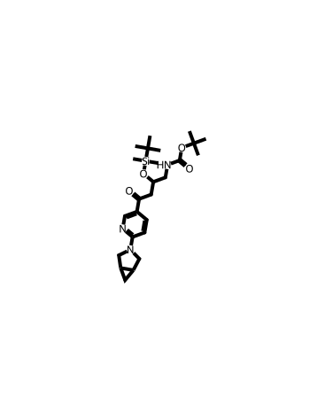 CC(C)(C)OC(=O)NCC(CC(=O)c1ccc(N2CC3CC3C2)nc1)O[Si](C)(C)C(C)(C)C